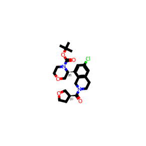 CC(C)(C)OC(=O)N1CCOC[C@H]1c1cc(Cl)cc2c1CN(C(=O)[C@H]1CCOC1)CC2